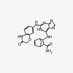 NC(=O)C1C2C=CC(C2)C1Nc1[nH]c(Nc2ccc3c(c2)OCC(=O)N3)nc2ncnc1-2